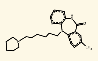 Cc1ccc2c(c1)C(=O)Nc1cccnc1N2CCCCCCN1CCCCC1